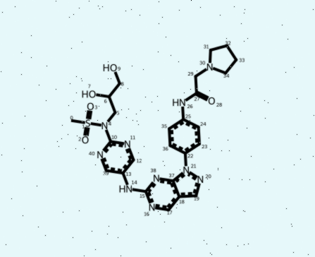 CS(=O)(=O)N(CC(O)CO)c1ncc(Nc2ncc3cnn(-c4ccc(NC(=O)CN5CCCC5)cc4)c3n2)cn1